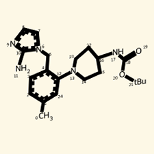 Cc1ccc(Cn2ccnc2N)c(N2CCC(NC(=O)OC(C)(C)C)CC2)c1